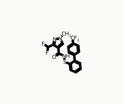 Cn1cc(C(=O)NSc2ccccc2-c2ccc(C(F)(F)F)cc2)c(C(F)F)n1